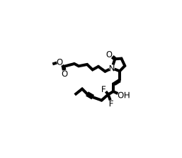 CCC#CCC(F)(F)C(O)C=CC1CCC(=O)N1CCCCCCC(=O)OC